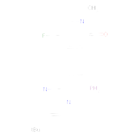 Cn1cc(F)c2cc(-c3ncc(C(C)(C)C)cn3)c(P)cc2c1=O